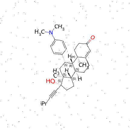 CC(C)C#C[C@]1(O)CC[C@H]2[C@@H]3CCC4=CC(=O)CC[C@]4(C)[C@H]3[C@@H](c3ccc(N(C)C)cc3)C[C@@]21C